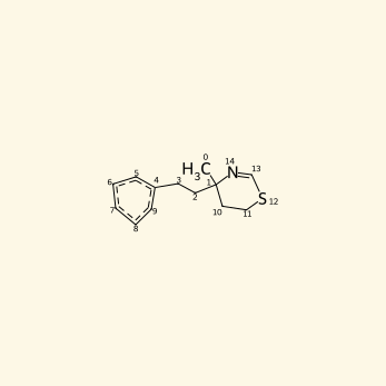 CC1(CCc2ccccc2)CCSC=N1